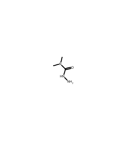 CN(C)C(=O)NN